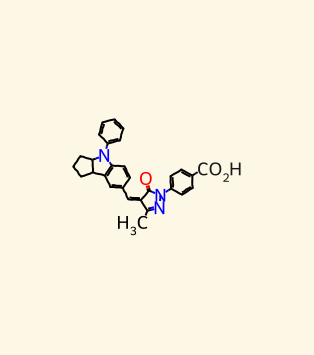 CC1=NN(c2ccc(C(=O)O)cc2)C(=O)/C1=C\c1ccc2c(c1)C1CCCC1N2c1ccccc1